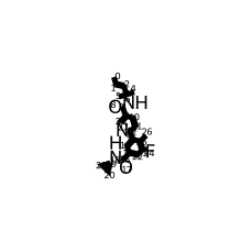 C/C=C/C(C)(C)NC(=O)c1ccc(-c2cc(C(=O)NC3CC3)cc(F)c2C)nc1